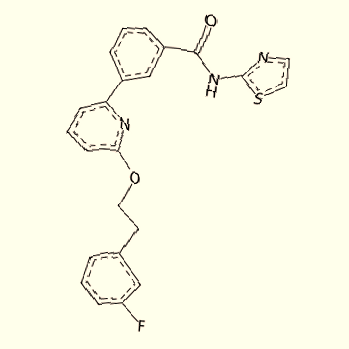 O=C(Nc1nccs1)c1cccc(-c2cccc(OCCc3cccc(F)c3)n2)c1